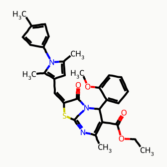 CCOC(=O)C1=C(C)N=c2s/c(=C/c3cc(C)n(-c4ccc(C)cc4)c3C)c(=O)n2C1c1ccccc1OC